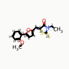 CCN1C(=O)/C(=C/c2ccc(-c3ccccc3OC)o2)SC1=S